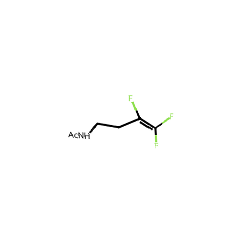 CC(=O)NCCC(F)=C(F)F